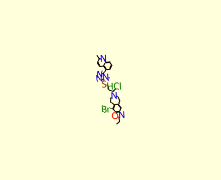 CCc1nc2cc3c(c(Br)c2o1)CCN(C(C)CCSc1nnc(-c2cccc4nc(C)ccc24)n1C)CC3.Cl